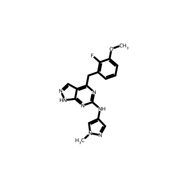 COc1cccc(Cc2nc(Nc3cnn(C)c3)nc3[nH]ncc23)c1F